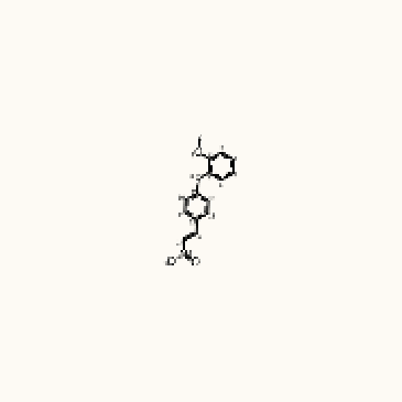 COc1ccccc1Sc1ccc(C=C[N+](=O)[O-])cc1